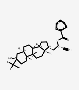 C#C[C@H](C[C@H]1CC[C@H]2[C@@H]3CC[C@@H]4C[C@@](O)(C(F)(F)F)CC[C@@H]4[C@H]3CC[C@]12C)OC(=O)c1ccccc1